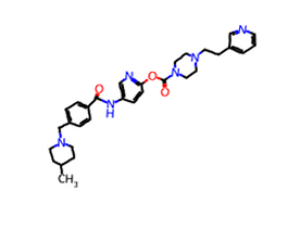 CC1CCN(Cc2ccc(C(=O)Nc3ccc(OC(=O)N4CCN(CCc5cccnc5)CC4)nc3)cc2)CC1